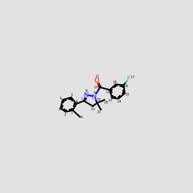 Cc1ccccc1C1=NN(C(=O)c2cccc(F)c2)C(C)(C)C1